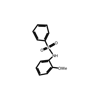 COc1ccccc1NS(=O)(=O)c1ccccc1